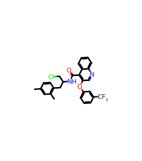 Cc1ccc(CC(CCl)NC(=O)c2c(Oc3cccc(C(F)(F)F)c3)cnc3ccccc23)c(C)c1